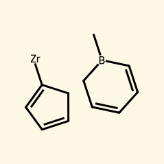 CB1C=CC=CC1.[Zr][C]1=CC=CC1